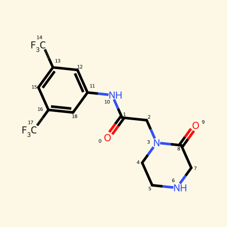 O=C(CN1CCNCC1=O)Nc1cc(C(F)(F)F)cc(C(F)(F)F)c1